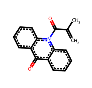 C=C(C)C(=O)n1c2ccccc2c(=O)c2ccccc21